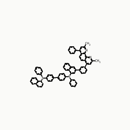 Cc1cc(-c2ccccc2)c2ccc3c(-c4cccc(-c5cc(N(c6ccccc6)c6ccc(-c7ccc(N(c8ccccc8)c8cccc9ccccc89)cc7)cc6)c6ccccc6c5)c4)cc(C)nc3c2n1